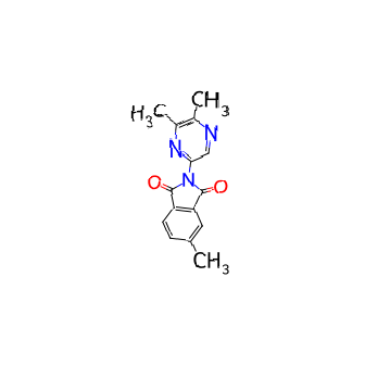 Cc1ccc2c(c1)C(=O)N(c1cnc(C)c(C)n1)C2=O